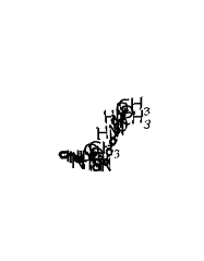 COC(=O)N[C@@H](C)C(=O)N1CCC[C@H]1c1ncc(-c2ccc(-c3ccc(-c4cnc([C@@H]5CCCN5C(=O)[C@H](Cc5cn(Cc6ccccc6)cn5)NC(=O)OC)[nH]4)cc3)cc2)[nH]1